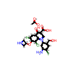 CC(=O)O.Nc1cc(-n2cc(C(=O)O)c(=O)c3cc(F)c(OC4CNC4)c(Cl)c32)c(CO)cc1F